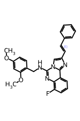 COc1ccc(CNc2nc3c(F)cccc3c3nc(/C=C/c4ccccc4)cn23)c(OC)c1